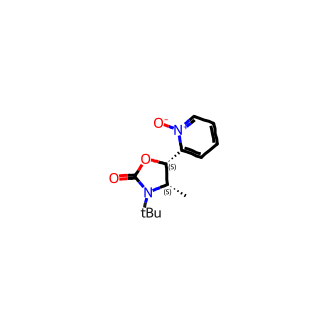 C[C@H]1[C@@H](c2cccc[n+]2[O-])OC(=O)N1C(C)(C)C